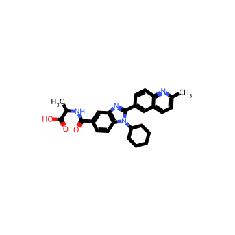 Cc1ccc2cc(-c3nc4cc(C(=O)NC(C)C(=O)O)ccc4n3C3CCCCC3)ccc2n1